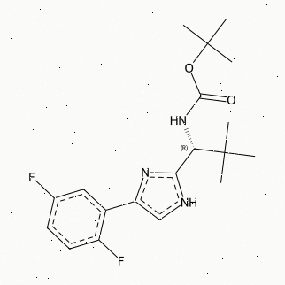 CC(C)(C)OC(=O)N[C@@H](c1nc(-c2cc(F)ccc2F)c[nH]1)C(C)(C)C